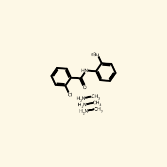 CCCCc1ccccc1NC(=O)c1ccccc1Cl.CN.CN.CN